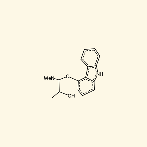 CNC(Oc1cccc2[nH]c3ccccc3c12)C(C)O